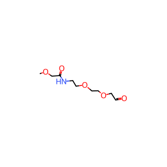 COCC(=O)NCCOCCOCC=O